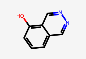 Oc1cccc2cnncc12